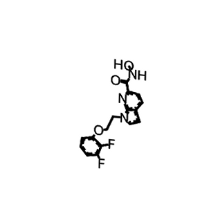 O=C(NO)c1ccc2ccn(CCOc3cccc(F)c3F)c2n1